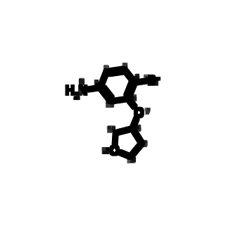 Nc1ccc(Br)c(OC2CCOC2)c1